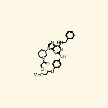 C=CC(=O)N1CCCC(n2cnc3c(NCc4ccccc4)nc(Nc4ccc(OCCOC)cc4)nc32)C1